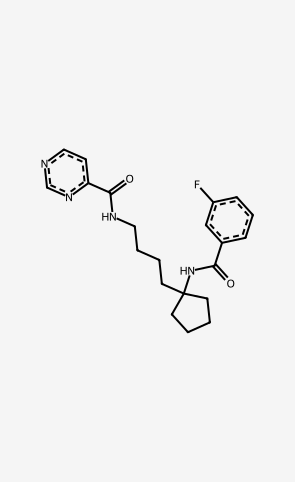 O=C(NC1(CCCCNC(=O)c2ccncn2)CCCC1)c1cccc(F)c1